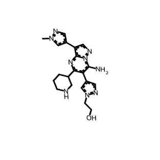 Cn1cc(-c2cnn3c(N)c(-c4cnn(CCO)c4)c(C4CCCNC4)nc23)cn1